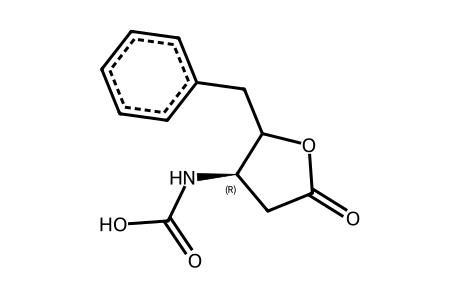 O=C(O)N[C@@H]1CC(=O)OC1Cc1ccccc1